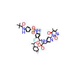 Cc1c(C)n(C)c(=O)n(-c2ccc(C[C@H](NC(=O)c3cc(F)c(NS(=O)(=O)c4ccc(NC(=O)C(C)(C)C)cc4)cc3F)C(=O)OC3C[C@H](C)CC[C@H]3C(C)C)cn2)c1=O